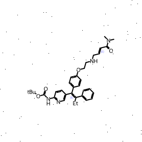 CC/C(=C(/c1ccc(OCCNC/C=C/C(=O)N(C)C)cc1)c1ccc(NC(=O)OC(C)(C)C)nc1)c1ccccc1